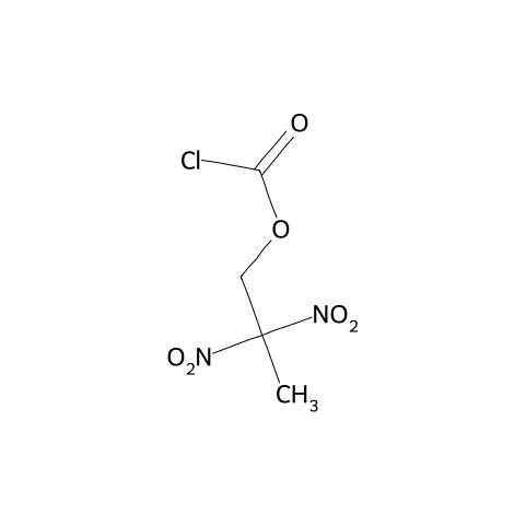 CC(COC(=O)Cl)([N+](=O)[O-])[N+](=O)[O-]